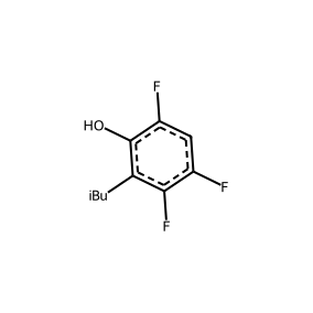 CCC(C)c1c(O)c(F)cc(F)c1F